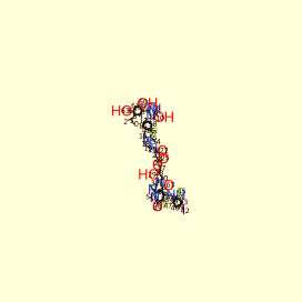 CC(C)c1cc(-c2nnc(O)n2-c2ccc(CN3CCN(C(=O)CC(=O)OCC(O)Cn4cnc5c(c(Nc6ccc(I)cc6F)c(F)c(=O)n5C)c4=O)CC3)c(F)c2)c(O)cc1O